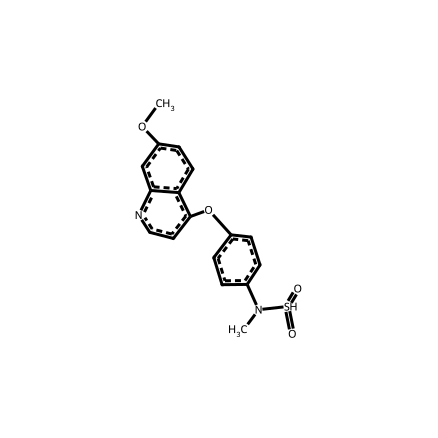 COc1ccc2c(Oc3ccc(N(C)[SH](=O)=O)cc3)ccnc2c1